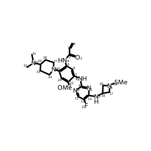 C=CC(=O)Nc1cc(Nc2ncc(F)c(NC3CN(SC)C3)n2)c(OC)cc1N1CCC(N(C)C)CC1